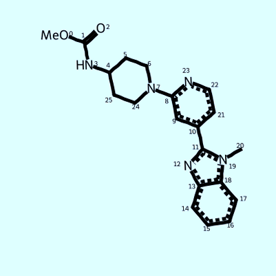 COC(=O)NC1CCN(c2cc(-c3nc4ccccc4n3C)ccn2)CC1